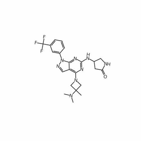 CN(C)C1(C)CN(c2nc(NC3CNC(=O)C3)nc3c2cnn3-c2cccc(C(F)(F)F)c2)C1